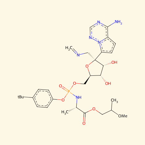 C=NC[C@@]1(c2ccc3c(N)ncnn23)O[C@H](COP(=O)(N[C@@H](C)C(=O)OCC(C)OC)Oc2ccc(C(C)(C)C)cc2)[C@@H](O)[C@H]1O